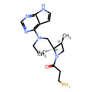 CCN(C[C@@]1(C)[C@@H](C)CN1C(=O)CCP)c1ncnc2[nH]ccc12